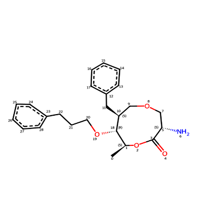 C[C@@H]1OC(=O)[C@@H](N)COC[C@H](Cc2ccccc2)[C@H]1OCCCc1ccccc1